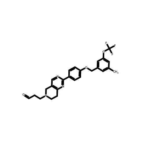 Cc1cc(COc2ccc(-c3ncc4c(n3)CCN(CCC=O)C4)cc2)cc(OC(F)(F)F)c1